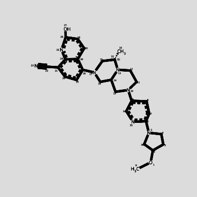 COC1CCN(c2ccc(N3CCN4C(C3)CN(c3ccc(C#N)c5nc(O)ccc35)C[C@@H]4C)cn2)C1